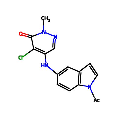 CC(=O)n1ccc2cc(Nc3cnn(C)c(=O)c3Cl)ccc21